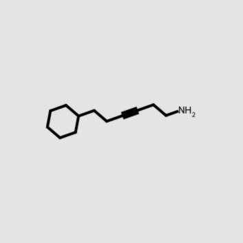 NCCC#CCCC1CCCCC1